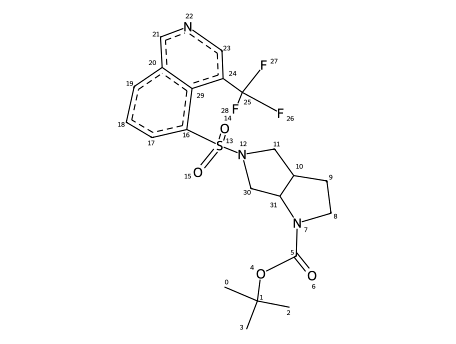 CC(C)(C)OC(=O)N1CCC2CN(S(=O)(=O)c3cccc4cncc(C(F)(F)F)c34)CC21